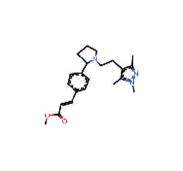 COC(=O)C=Cc1ccc(C2CCCN2CCc2c(C)nn(C)c2C)cc1